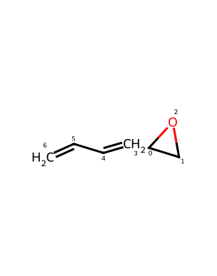 C1CO1.C=CC=C